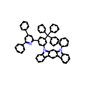 c1ccc(-c2cc(-c3ccccc3)nc(-c3cc(-n4c5ccccc5c5cc6c7ccccc7n(-c7ccccc7)c6cc54)cc(C(c4ccccc4)(c4ccccc4)c4ccccc4)c3)c2)cc1